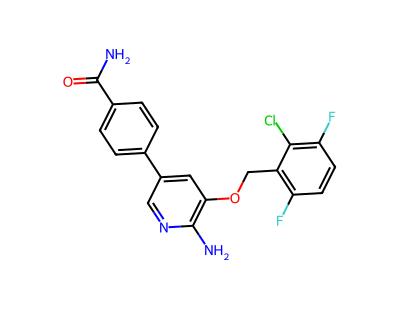 NC(=O)c1ccc(-c2cnc(N)c(OCc3c(F)ccc(F)c3Cl)c2)cc1